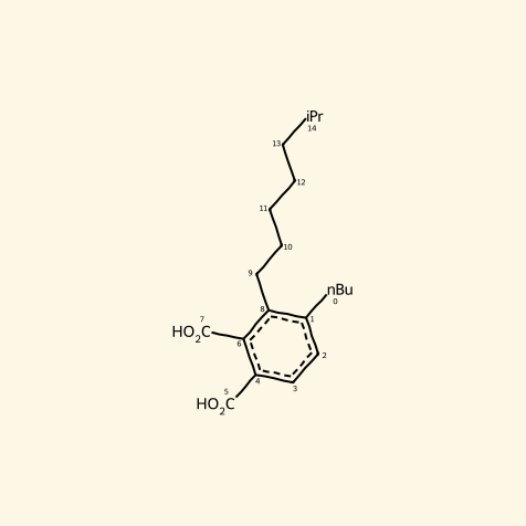 CCCCc1ccc(C(=O)O)c(C(=O)O)c1CCCCCC(C)C